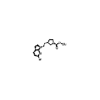 CC(C)(C)OC(=O)N1CCC(CCn2ccc3ccc(Br)nc32)C1